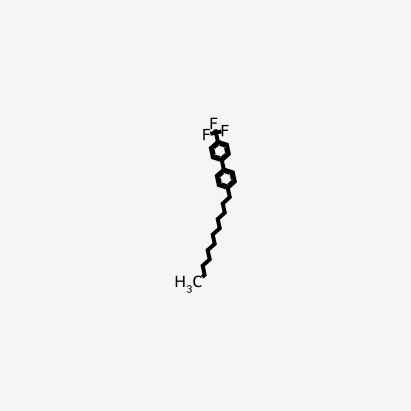 CCCCCCCCCCCCc1ccc(-c2ccc(C(F)(F)F)cc2)cc1